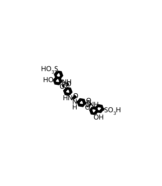 O=C(Nc1ccc(S(=O)(=O)Nc2ccc(O)c3cc(S(=O)(=O)O)ccc23)cc1)Nc1ccc(S(=O)(=O)Nc2ccc(O)c3cc(S(=O)(=O)O)ccc23)cc1